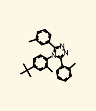 Cc1cccc(-c2nnc(-c3ccccc3C)n2-c2ccc(C(C)(C)C)cc2C)c1